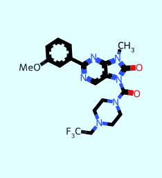 COc1cccc(-c2ncc3c(n2)n(C)c(=O)n3C(=O)N2CCN(CC(F)(F)F)CC2)c1